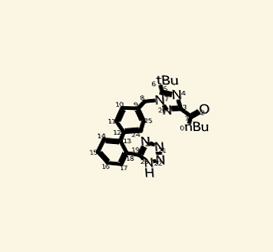 CCCCC(=O)c1nc(C(C)(C)C)n(Cc2ccc(-c3ccccc3-c3nnn[nH]3)cc2)n1